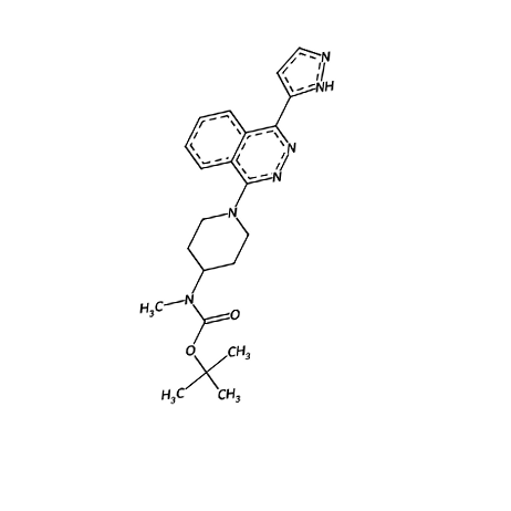 CN(C(=O)OC(C)(C)C)C1CCN(c2nnc(-c3ccn[nH]3)c3ccccc23)CC1